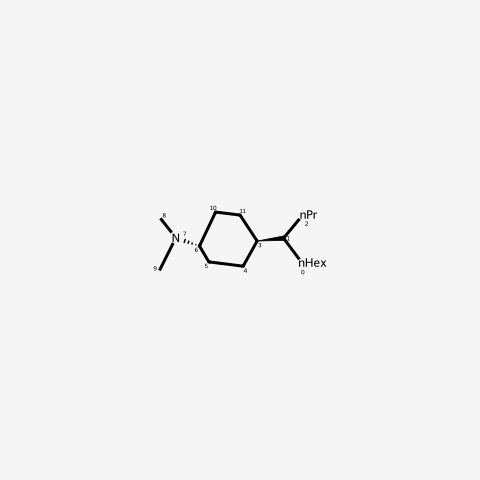 CCCCCCC(CCC)[C@H]1CC[C@H](N(C)C)CC1